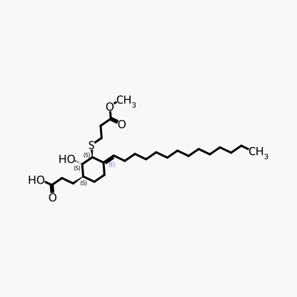 CCCCCCCCCCCCC/C=C1\CC[C@@H](CCC(=O)O)[C@H](O)[C@H]1SCCC(=O)OC